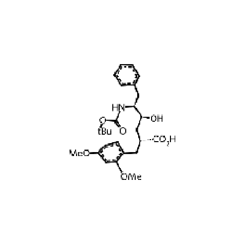 COc1ccc(C[C@H](C[C@H](O)[C@H](Cc2ccccc2)NC(=O)OC(C)(C)C)C(=O)O)c(OC)c1